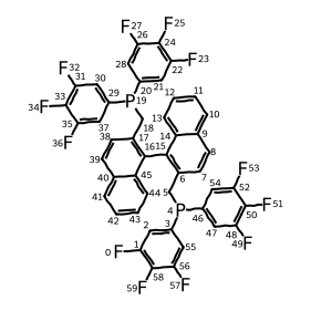 Fc1cc(P(Cc2ccc3ccccc3c2-c2c(CP(c3cc(F)c(F)c(F)c3)c3cc(F)c(F)c(F)c3)ccc3ccccc23)c2cc(F)c(F)c(F)c2)cc(F)c1F